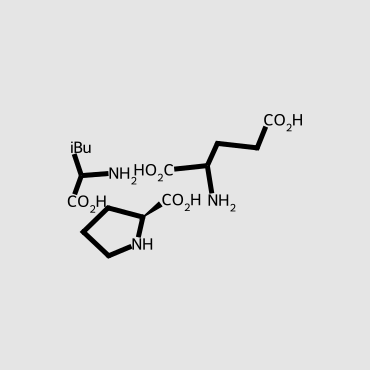 CCC(C)C(N)C(=O)O.NC(CCC(=O)O)C(=O)O.O=C(O)[C@@H]1CCCN1